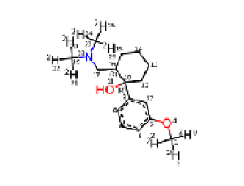 [2H]C([2H])([2H])Oc1cccc([C@@]2(O)CCCC[C@@H]2CN(C([2H])([2H])[2H])C([2H])([2H])[2H])c1